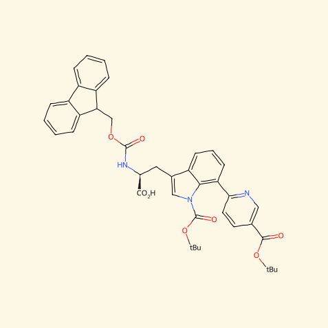 CC(C)(C)OC(=O)c1ccc(-c2cccc3c(C[C@H](NC(=O)OCC4c5ccccc5-c5ccccc54)C(=O)O)cn(C(=O)OC(C)(C)C)c23)nc1